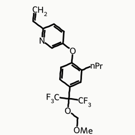 C=Cc1ccc(Oc2ccc(C(OCOC)(C(F)(F)F)C(F)(F)F)cc2CCC)cn1